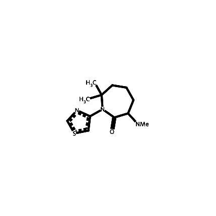 CNC1CCCC(C)(C)N(c2cscn2)C1=O